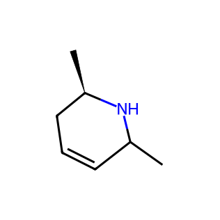 CC1C=CC[C@@H](C)N1